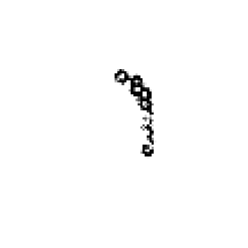 C[C@]12CCC(CNOC(=O)CCCN3CCCC3)C=C1CC[C@H]1[C@@H]2CC[C@]2(C)C(c3cccnc3)=CC[C@@H]12